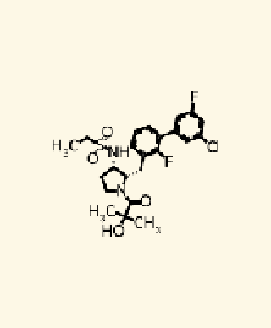 CCS(=O)(=O)N[C@H]1CCN(C(=O)C(C)(C)O)[C@H]1Cc1cccc(-c2cc(F)cc(Cl)c2)c1F